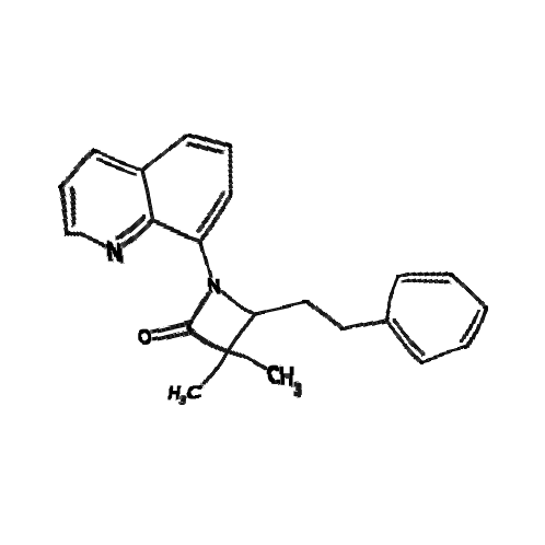 CC1(C)C(=O)N(c2cccc3cccnc23)C1CCc1ccccc1